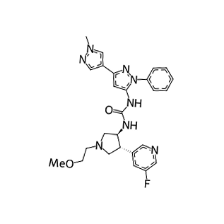 COCCN1C[C@@H](NC(=O)Nc2cc(-c3cnn(C)c3)nn2-c2ccccc2)[C@H](c2cncc(F)c2)C1